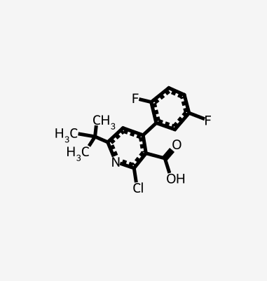 CC(C)(C)c1cc(-c2cc(F)ccc2F)c(C(=O)O)c(Cl)n1